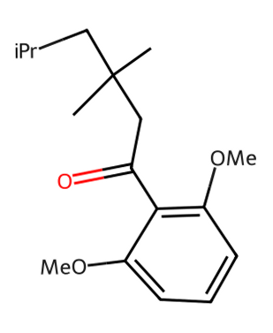 [CH2]C(C)CC(C)(C)CC(=O)c1c(OC)cccc1OC